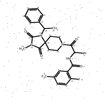 CC(C)C(NC(=O)c1cc(C(F)(F)F)ccc1F)C(=O)N1CCC2(CC1)C(=O)N(C)C(=O)N2C(C)c1ccccc1